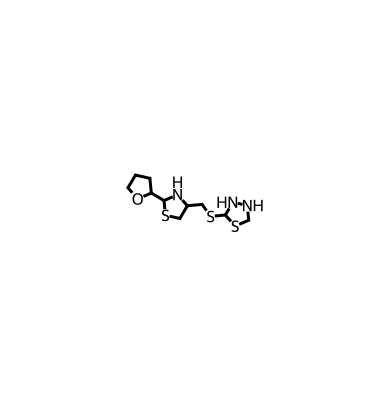 C1COC(C2NC(CSC3NNCS3)CS2)C1